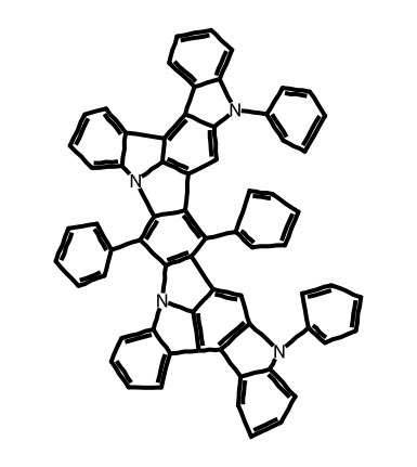 c1ccc(-c2c3c4cc5c(c6ccccc6n5-c5ccccc5)c5c6ccccc6n(c3c(-c3ccccc3)c3c2c2cc6c(c7ccccc7n6-c6ccccc6)c6c7ccccc7n3c26)c45)cc1